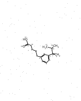 C=C(c1cccc(CCCCC(=O)O)c1)C(C)C